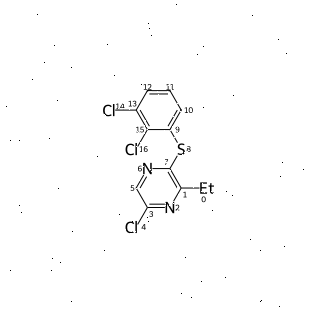 CCc1nc(Cl)cnc1Sc1cccc(Cl)c1Cl